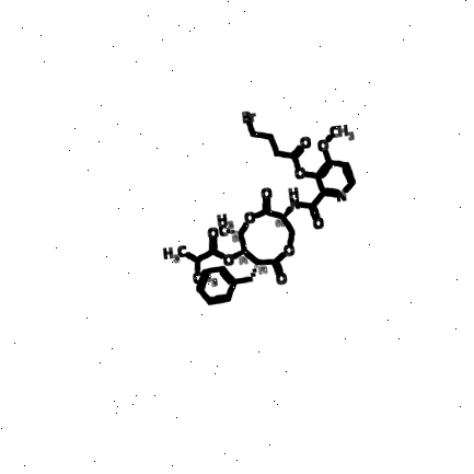 COc1ccnc(C(=O)N[C@H]2COC(=O)[C@H](Cc3ccccc3)[C@@H](OC(=O)C(C)C)[C@H](C)OC2=O)c1OC(=O)CCCBr